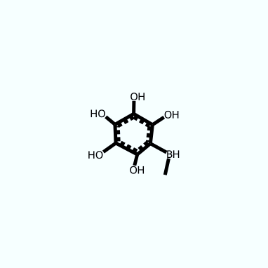 CBc1c(O)c(O)c(O)c(O)c1O